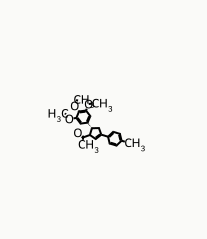 COc1cc([C@@H]2CC(c3ccc(C)cc3)=CC2C(C)=O)cc(OC)c1OC